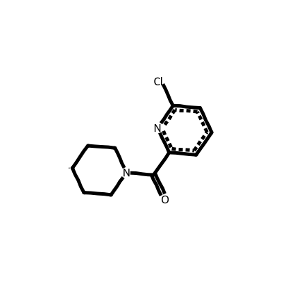 O=C(c1cccc(Cl)n1)N1CC[CH]CC1